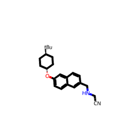 CC(C)(C)[C@H]1CC[C@H](Oc2ccc3cc(CNCC#N)ccc3c2)CC1